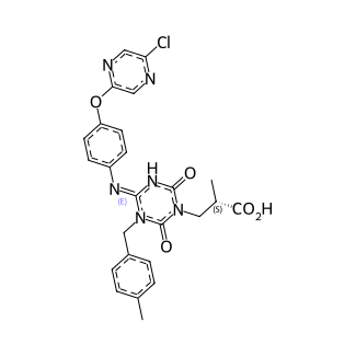 Cc1ccc(Cn2c(=O)n(C[C@H](C)C(=O)O)c(=O)[nH]/c2=N\c2ccc(Oc3cnc(Cl)cn3)cc2)cc1